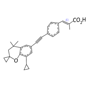 C/C(=C\c1ccc(C#Cc2cc(C3CC3)c3c(c2)C(C)(C)CC2(CC2)O3)cc1)C(=O)O